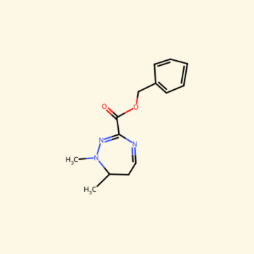 CC1CC=NC(C(=O)OCc2ccccc2)=NN1C